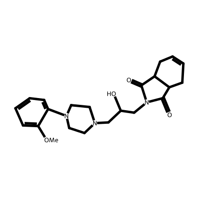 COc1ccccc1N1CCN(CC(O)CN2C(=O)C3CC=CCC3C2=O)CC1